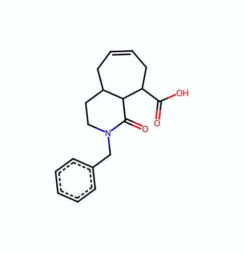 O=C(O)C1CC=CCC2CCN(Cc3ccccc3)C(=O)C21